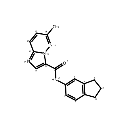 O=C(Nc1ccc2c(c1)CCC2)c1cnc2ccc(Cl)nn12